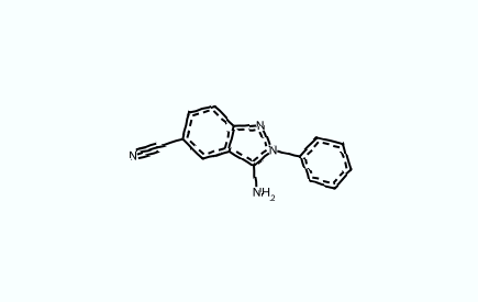 N#Cc1ccc2nn(-c3ccccc3)c(N)c2c1